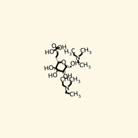 CCN(CC)CC.CCN(CC)CC.O=P(O)(O)CC[C@@H]1O[C@H](CO)[C@H](O)[C@H](O)[C@H]1O